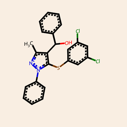 Cc1nn(-c2ccccc2)c(Sc2cc(Cl)cc(Cl)c2)c1C(O)c1ccccc1